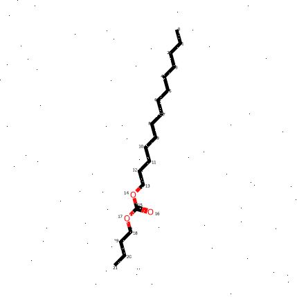 CCCCCCCCCCCCCCOC(=O)OCCCC